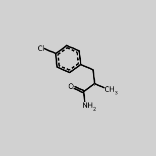 C[C](Cc1ccc(Cl)cc1)C(N)=O